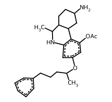 CC(=O)Oc1cc(OC(C)CCCc2ccccc2)cc2c1C1CC(N)CCC1C(C)N2